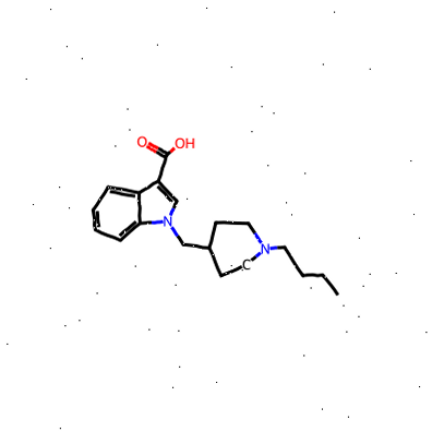 CCCCN1CCC(Cn2cc(C(=O)O)c3ccccc32)CC1